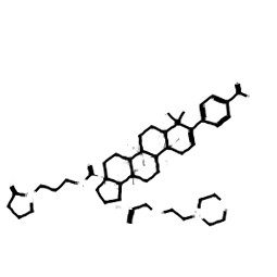 C=C(COCCN1CCOCC1)[C@@H]1CC[C@]2(C(=O)NCCCN3CCCC3=O)CC[C@]3(C)[C@H](CC[C@@H]4[C@@]5(C)CC=C(c6ccc(C(=O)O)cc6)C(C)(C)[C@@H]5CC[C@]43C)[C@@H]12